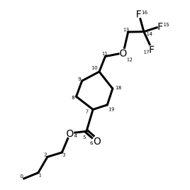 CCCCOC(=O)C1CCC(COCC(F)(F)F)CC1